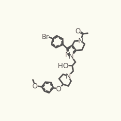 COc1ccc(OC2CCN(CC(O)Cn3nc(-c4ccc(Br)cc4)c4c3CCN(C(C)=O)C4)CC2)cc1